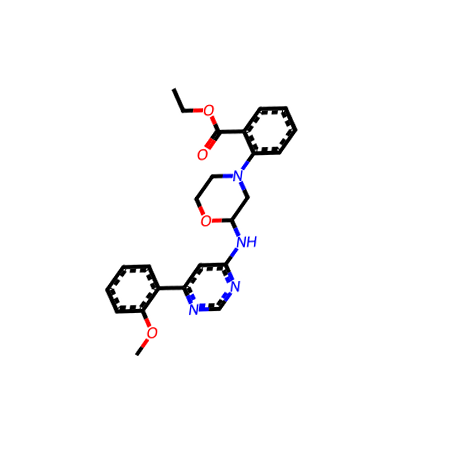 CCOC(=O)c1ccccc1N1CCOC(Nc2cc(-c3ccccc3OC)ncn2)C1